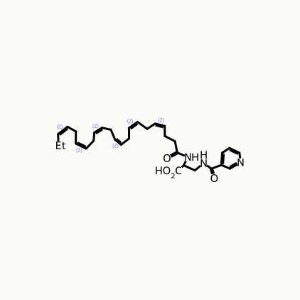 CC/C=C\C/C=C\C/C=C\C/C=C\C/C=C\C/C=C\CCC(=O)NC(CNC(=O)c1cccnc1)C(=O)O